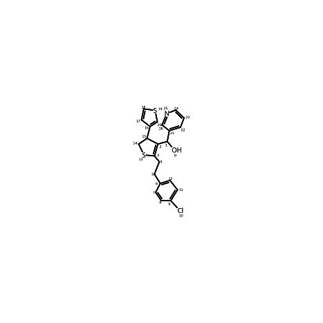 OC(C1=C(CCc2ccc(Cl)cc2)SCC1c1ccsc1)c1cccnc1